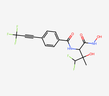 CC(O)(C(F)F)C(NC(=O)c1ccc(C#CC(F)(F)F)cc1)C(=O)NO